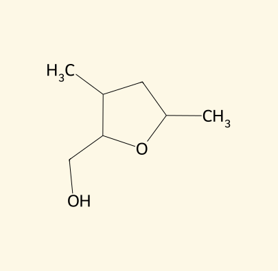 CC1CC(C)C(CO)O1